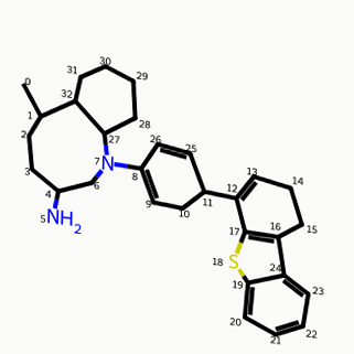 CC1CCC(N)CN(C2=CCC(C3=CCCc4c3sc3ccccc43)C=C2)C2CCCCC12